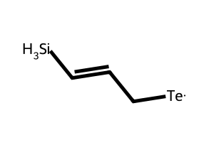 [SiH3]C=CC[Te]